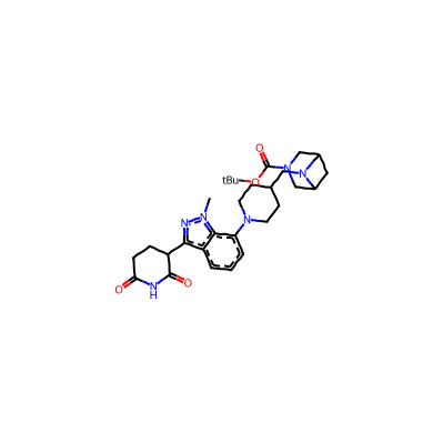 Cn1nc(C2CCC(=O)NC2=O)c2cccc(N3CCC(CN4C5CC4CN(C(=O)OC(C)(C)C)C5)CC3)c21